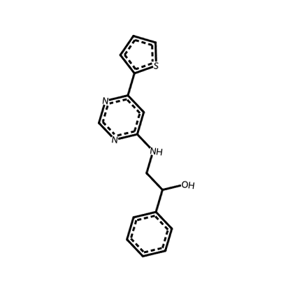 OC(CNc1cc(-c2cccs2)ncn1)c1ccccc1